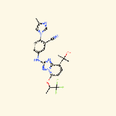 Cc1cn(-c2ccc(Nc3nc4c(C(C)(C)O)ccc(OC(C)C(F)(F)F)n4n3)cc2C#N)cn1